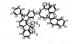 C=C1/C=C(c2ccc3c(c2)c2c4c(ccc2n3-c2ccccc2)-c2ccccc2C4(C)C)\C=C/N(c2ccc3ccccc3c2)c2ccccc21